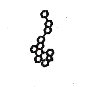 c1ccc(-c2ccc3ccc(-c4ccc5ccc(N(c6ccccc6-c6ccccc6)c6cccc7sc8ccccc8c67)cc5c4)cc3c2)cc1